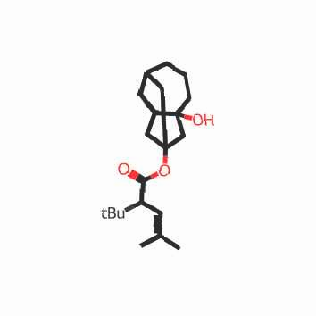 CC(C)=CC(C(=O)OC12CC3CCCC(O)(C1)C(C3)C2)C(C)(C)C